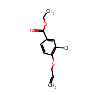 C=CCOc1ccc(C(=O)OCC)cc1Cl